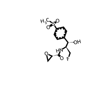 CS(=O)(=O)c1ccc([C@H](O)[C@@H](CF)NC(=O)[C@@H]2CO2)cc1